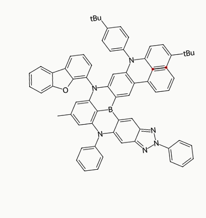 Cc1cc2c3c(c1)N(c1cccc4c1oc1ccccc14)c1cc(N(c4ccc(C(C)(C)C)cc4)c4ccc(C(C)(C)C)cc4)c(-c4ccccc4)cc1B3c1cc3nn(-c4ccccc4)nc3cc1N2c1ccccc1